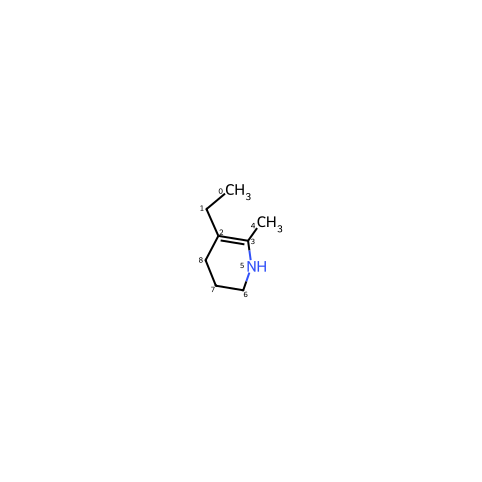 CCC1=C(C)NCCC1